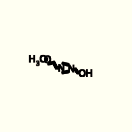 COCCCN1CCN(CCO)CC1